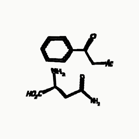 CC(=O)CC(=O)c1ccccc1.NC(=O)C[C@H](N)C(=O)O